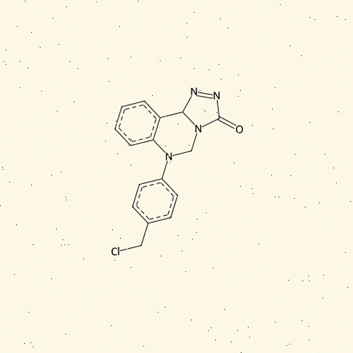 O=C1N=NC2c3ccccc3N(c3ccc(CCl)cc3)CN12